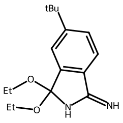 CCOC1(OCC)NC(=N)c2ccc(C(C)(C)C)cc21